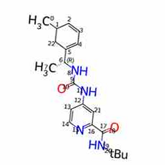 CC1C=CC=C([C@@H](C)NC(=O)Nc2ccnc(C(=O)NC(C)(C)C)c2)C1